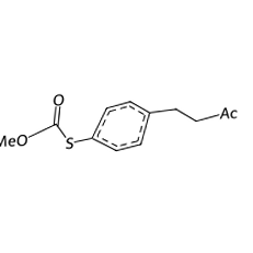 COC(=O)Sc1ccc(CCC(C)=O)cc1